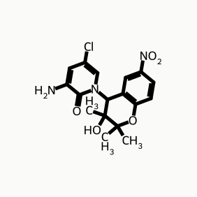 CC1(C)Oc2ccc([N+](=O)[O-])cc2C(n2cc(Cl)cc(N)c2=O)C1(C)O